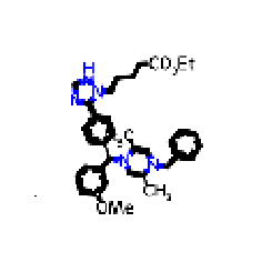 CCOC(=O)CCCCN1NC=NC1c1ccc([C@H](c2cccc(OC)c2)N2C[C@@H](C)N(Cc3ccccc3)C[C@@H]2C)cc1